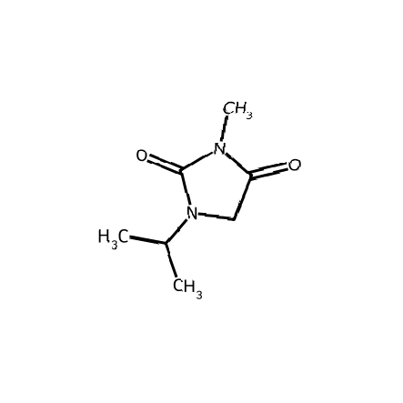 CC(C)N1CC(=O)N(C)C1=O